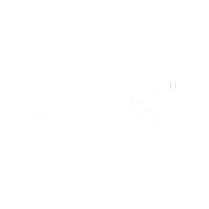 CCCCCCCCCCSC(C)(C)CC(C)=O